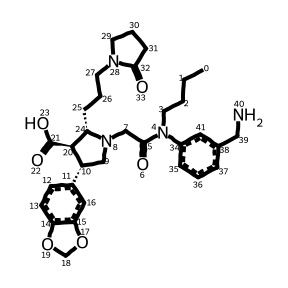 CCCCN(C(=O)CN1C[C@H](c2ccc3c(c2)OCO3)[C@@H](C(=O)O)[C@@H]1CCCN1CCCC1=O)c1cccc(CN)c1